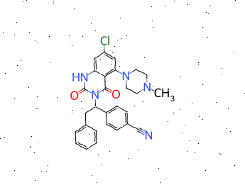 CN1CCN(c2cc(Cl)cc3[nH]c(=O)n(C(Cc4ccccc4)c4ccc(C#N)cc4)c(=O)c23)CC1